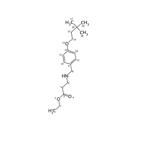 CCOC(=O)CCNCc1ccc(OCCC(C)(C)C)cc1